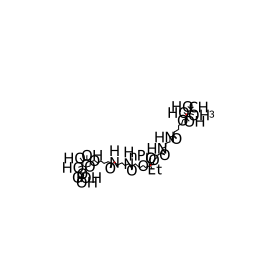 CCCOCC(CC)(COCCC(=O)NCCCNC(=O)CCCCOC(O)C(O)C(O)C(C)O)COCCC(=O)NCCCNC(=O)CCCCOC1OC(COP(=O)(O)O)C(O)C(O)C1O